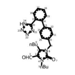 CCCCc1c(C=O)n(CCCC)c(=O)n1Cc1ccc(-c2ccccc2-c2nnn[nH]2)cc1